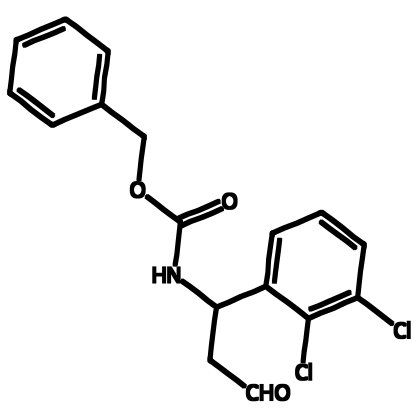 O=CCC(NC(=O)OCc1ccccc1)c1cccc(Cl)c1Cl